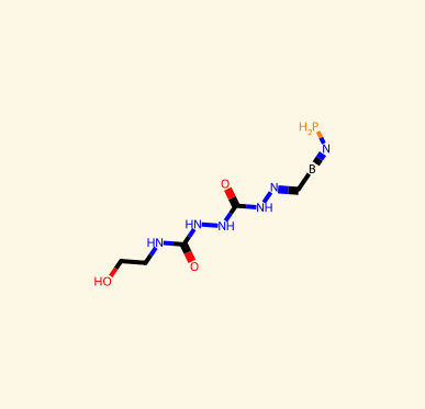 O=C(NCCO)NNC(=O)NN=C/B=N/P